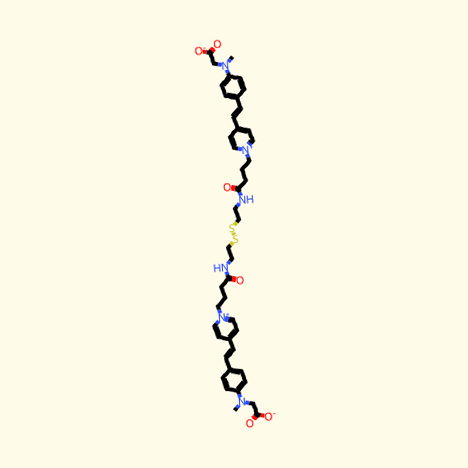 CN(CC(=O)[O-])c1ccc(C=Cc2cc[n+](CCCC(=O)NCCSSCCNC(=O)CCC[n+]3ccc(C=Cc4ccc(N(C)CC(=O)[O-])cc4)cc3)cc2)cc1